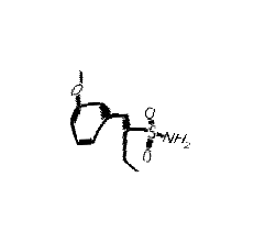 CC/C(=C\c1cccc(OC)c1)S(N)(=O)=O